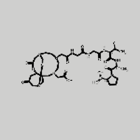 CC(C)[C@H](NC(=O)CNC(=O)CNC(=O)CN1CCN2CCN3CC(=O)CC(OC(=O)C2)C(CN(CC(=O)O)CC1)C3)C(=O)N[C@H](C)C(=O)N1CCC[C@H]1B(O)O